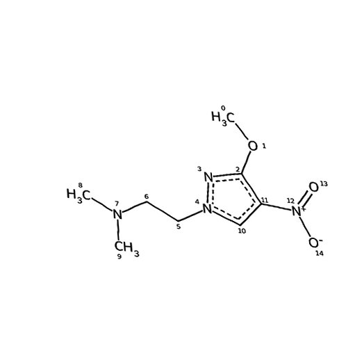 COc1nn(CCN(C)C)cc1[N+](=O)[O-]